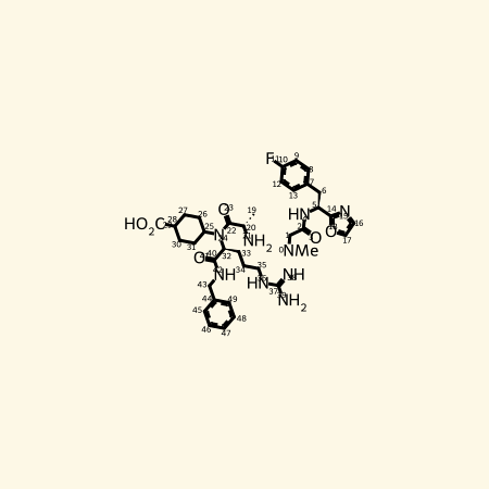 CNCC(=O)N[C@@H](Cc1ccc(F)cc1)c1ncco1.C[C@H](N)C(=O)N(C1CCC(C(=O)O)CC1)[C@@H](CCCNC(=N)N)C(=O)NCc1ccccc1